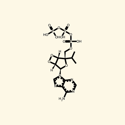 CC(C)[C@]1(COP(=O)(O)OP(=O)(O)OP(=O)(O)O)O[C@@H](n2cnc3c(N)ncnc32)[C@@H]2OO[C@@H]21